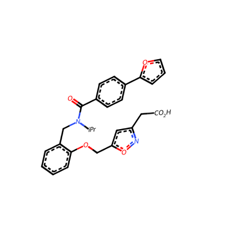 CC(C)N(Cc1ccccc1OCc1cc(CC(=O)O)no1)C(=O)c1ccc(-c2ccco2)cc1